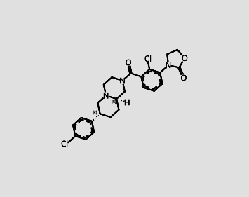 O=C(c1cccc(N2CCOC2=O)c1Cl)N1CCN2C[C@@H](c3ccc(Cl)cc3)CC[C@@H]2C1